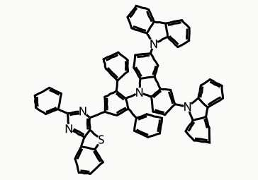 c1ccc(-c2nc(-c3cc(-c4ccccc4)c(-n4c5ccc(-n6c7ccccc7c7ccccc76)cc5c5cc(-n6c7ccccc7c7ccccc76)ccc54)c(-c4ccccc4)c3)c3sc4ccccc4c3n2)cc1